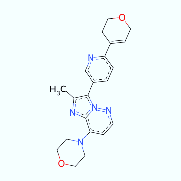 Cc1nc2c(N3CCOCC3)ccnn2c1-c1ccc(C2=CCOCC2)nc1